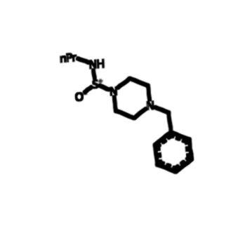 CCCN[S+]([O-])N1CCN(Cc2ccccc2)CC1